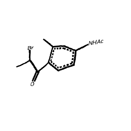 CC(=O)Nc1ccc(C(=O)C(C)Br)c(C)c1